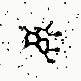 COc1cc2ncc([N+](=O)[O-])c(NC(=O)OC(C)(C)C)c2cc1Br